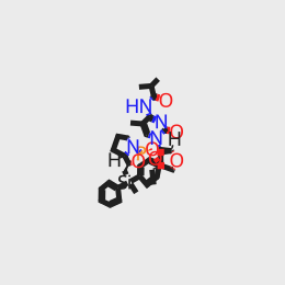 CC[C@@]12CO[C@@H](C1O[P@]1O[C@@H](C[Si](C)(c3ccccc3)c3ccccc3)[C@H]3CCCN31)[C@H](n1cc(C)c(NC(=O)C(C)C)nc1=O)O2